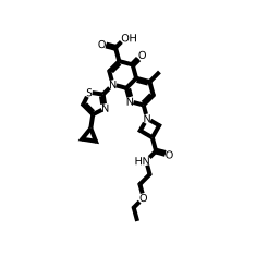 CCOCCNC(=O)C1CN(c2cc(C)c3c(=O)c(C(=O)O)cn(-c4nc(C5CC5)cs4)c3n2)C1